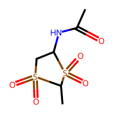 CC(=O)NC1CS(=O)(=O)C(C)S1(=O)=O